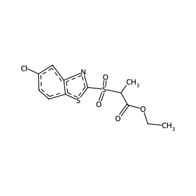 CCOC(=O)C(C)S(=O)(=O)c1nc2cc(Cl)ccc2s1